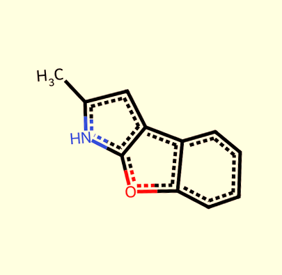 Cc1cc2c([nH]1)oc1ccccc12